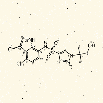 CC(C)(CO)n1cc(S(=O)(=O)Nc2ccc(Cl)c3c(Cl)c[nH]c23)cn1